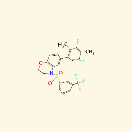 Cc1c(F)cc(-c2ccc3c(c2)N(S(=O)(=O)c2cccc(C(F)(F)F)c2)CCO3)c(C)c1F